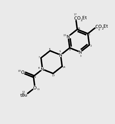 CCOC(=O)c1cnc(N2CCN(C(=O)OC(C)(C)C)CC2)nc1C(=O)OCC